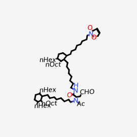 CCCCCCCCC1C(CCCCCC)CCC(CCCCCC)C1CCCCCCCCN(C(C)=O)C(CC=O)C(=O)NCCCCCCCCC1C(CCCCCCCCN2OCC=CC2=O)CCC(CCCCCC)C1CCCCCCCC